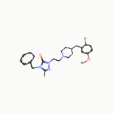 Cc1nn(CCN2CCC(Cc3cc(OC(C)C)ccc3Br)CC2)c(=O)n1Cc1ccccc1